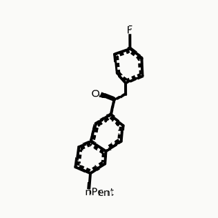 CCCCCc1ccc2cc(C(=O)Cc3ccc(F)cc3)ccc2c1